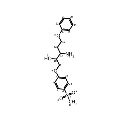 CS(=O)(=O)c1ccc(OCC(O)C(N)CCOc2ccccc2)cc1